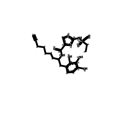 C#CCCCCCC(Cc1ccc(O)c(O)c1O)NC(=O)c1coc(NS(=O)(=O)CC)n1